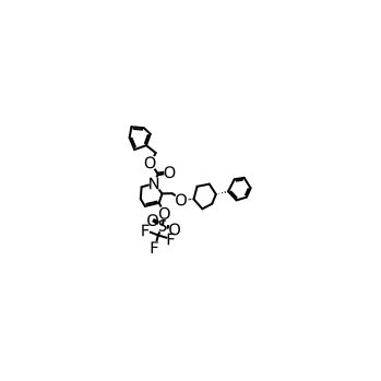 O=C(OCc1ccccc1)N1CCC=C(OS(=O)(=O)C(F)(F)F)C1CO[C@H]1CC[C@@H](c2ccccc2)CC1